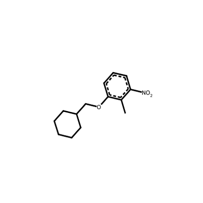 Cc1c(OCC2CCCCC2)cccc1[N+](=O)[O-]